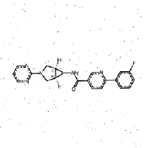 O=C(NC1[C@H]2CN(c3ncccn3)C[C@@H]12)c1ccc(-c2cccc(F)c2)nc1